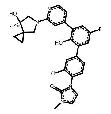 Cn1ccn(-c2ccc(-c3cc(F)cc(-c4ccnc(N5CC6(CC6)[C@@](C)(O)C5)c4)c3O)cc2Cl)c1=O